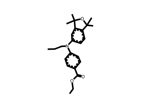 CCCN(c1ccc(C(=O)OCC)cc1)c1ccc2c(c1)C(C)(C)OC2(C)C